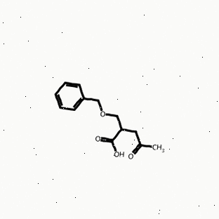 CC(=O)CC(COCc1ccccc1)C(=O)O